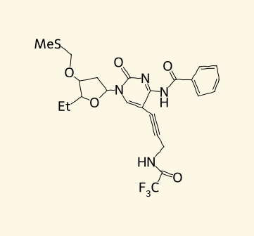 CCC1OC(n2cc(C#CCNC(=O)C(F)(F)F)c(NC(=O)c3ccccc3)nc2=O)CC1OCSC